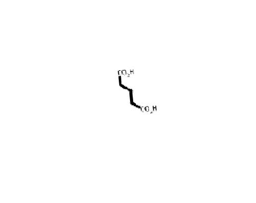 O=C(O)[CH]CCC(=O)O